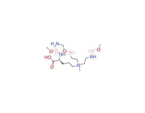 COBNCC[N+](C)(CCBOCN)CCC[C@H](NBOC)C(=O)O